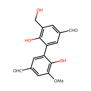 COc1cc(C=O)cc(-c2cc(C=O)cc(CO)c2O)c1O